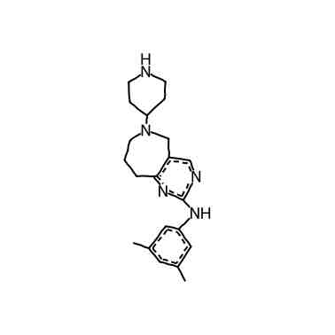 Cc1cc(C)cc(Nc2ncc3c(n2)CCCN(C2CCNCC2)C3)c1